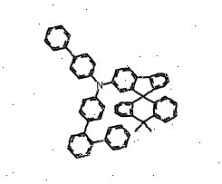 CC1(C)c2ccccc2C2(c3ccccc3-c3ccc(N(c4ccc(-c5ccccc5)cc4)c4ccc(-c5ccccc5-c5ccccc5)cc4)cc32)c2ccccc21